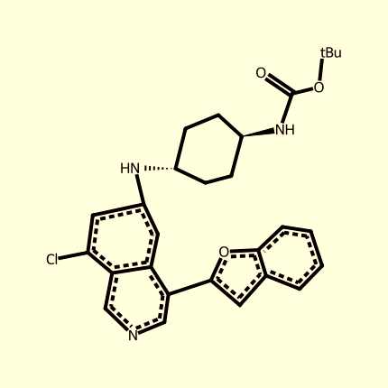 CC(C)(C)OC(=O)N[C@H]1CC[C@H](Nc2cc(Cl)c3cncc(-c4cc5ccccc5o4)c3c2)CC1